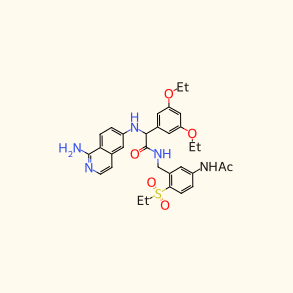 CCOc1cc(OCC)cc(C(Nc2ccc3c(N)nccc3c2)C(=O)NCc2cc(NC(C)=O)ccc2S(=O)(=O)CC)c1